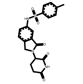 Cc1ccc(S(=O)(=O)Nc2ccc3c(c2)C(=O)N(C2CCC(=O)NC2=O)C3)cc1